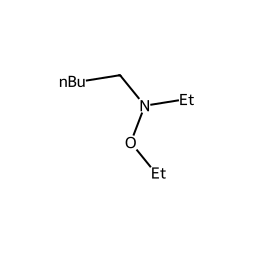 CCCCCN(CC)OCC